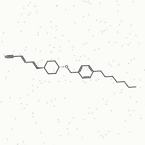 CCCCCCCc1ccc(CO[C@H]2CC[C@H](/C=C/C=C/C#N)CC2)cc1